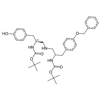 CC(C)(C)OC(=O)NC(CNC[C@H](Cc1ccc(O)cc1)NC(=O)OC(C)(C)C)Cc1ccc(OCc2ccccc2)cc1